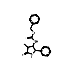 CC1C(=O)NC(c2ccccc2)C1NC(=O)OCc1ccccc1